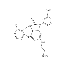 COc1cccc(-n2c(=O)n(Cc3c(F)cccc3F)c3cnc(NCCNC(C)=O)nc32)c1